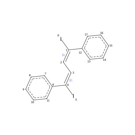 I/C(=C/C=C(/I)c1ccccc1)c1ccccc1